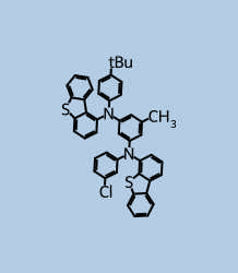 Cc1cc(N(c2cccc(Cl)c2)c2cccc3c2sc2ccccc23)cc(N(c2ccc(C(C)(C)C)cc2)c2cccc3sc4ccccc4c23)c1